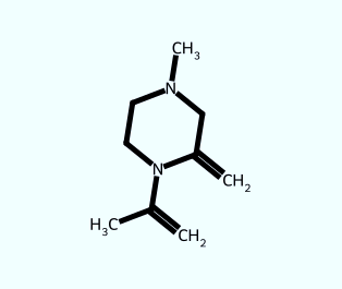 C=C(C)N1CCN(C)CC1=C